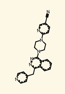 N#Cc1ccc(N2CCN(c3nnc(Cc4ccncc4)c4ccccc34)CC2)nc1